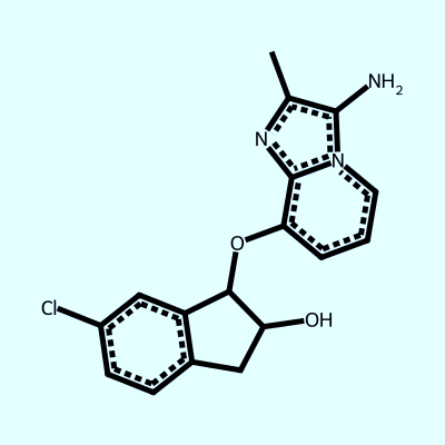 Cc1nc2c(OC3c4cc(Cl)ccc4CC3O)cccn2c1N